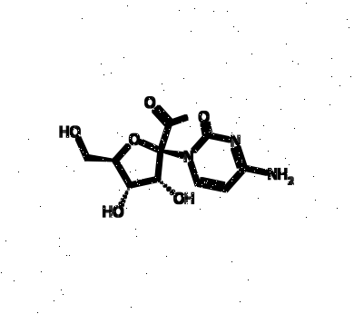 CC(=O)[C@@]1(n2ccc(N)nc2=O)O[C@H](CO)[C@@H](O)[C@H]1O